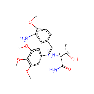 COc1ccc(/C=C\c2cc(OC)c(OC)c(OC)c2)cc1N.C[C@H](O)[C@@H](N)C(N)=O